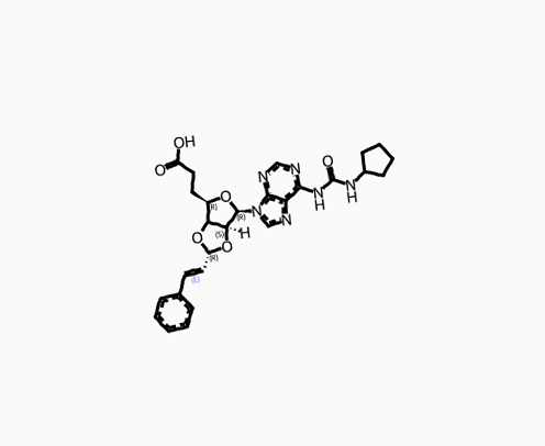 O=C(O)CC[C@H]1O[C@@H](n2cnc3c(NC(=O)NC4CCCC4)ncnc32)[C@H]2O[C@H](/C=C/c3ccccc3)OC12